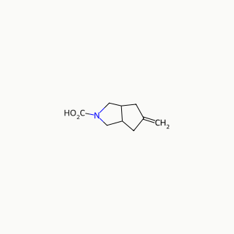 C=C1CC2CN(C(=O)O)CC2C1